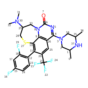 CC1CN(c2nc(=O)n3c4c(c(-c5ccc(F)cc5F)c(C(F)(F)F)cc24)SCC(N(C)C)C3)CC(C)N1